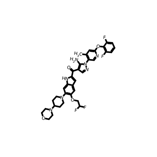 Cc1cc(Oc2c(F)cccc2F)ncc1-n1ncc(C(=O)c2cc3cc(OCC(F)F)c(N4CCC(N5CCOCC5)CC4)cc3[nH]2)c1N